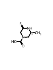 C[C@H]1CN(C(=O)O)CC(=S)N1